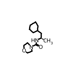 C[C@H](CC1CCCCC1)NC(=O)N1CCOCC1